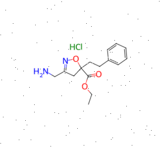 CCOC(=O)C1(CCc2ccccc2)CC(CN)=NO1.Cl